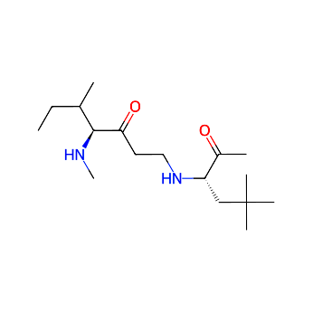 CCC(C)[C@H](NC)C(=O)CCN[C@@H](CC(C)(C)C)C(C)=O